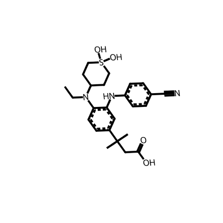 CCN(c1ccc(C(C)(C)CC(=O)O)cc1Nc1ccc(C#N)cc1)C1CCS(O)(O)CC1